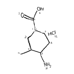 CC1CN(C(=O)O)CCC1N.Cl